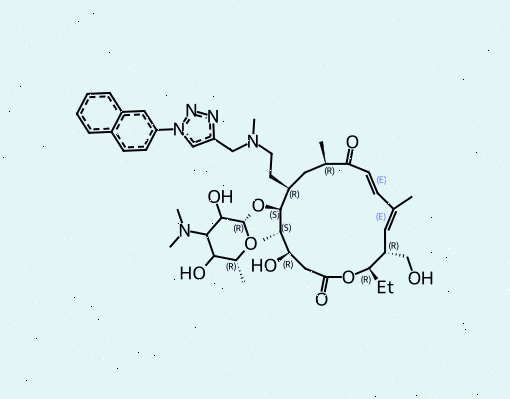 CC[C@H]1OC(=O)C[C@@H](O)[C@H](C)[C@@H](O[C@@H]2O[C@H](C)C(O)C(N(C)C)C2O)[C@@H](CCN(C)Cc2cn(-c3ccc4ccccc4c3)nn2)C[C@@H](C)C(=O)/C=C/C(C)=C/[C@@H]1CO